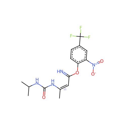 C/C(=C/C(=N)Oc1ccc(C(F)(F)F)cc1[N+](=O)[O-])NC(=O)NC(C)C